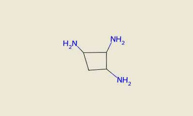 NC1CC(N)C1N